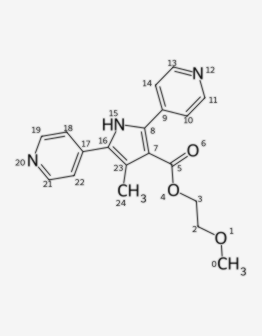 COCCOC(=O)c1c(-c2ccncc2)[nH]c(-c2ccncc2)c1C